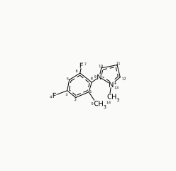 Cc1cc(F)cc(F)c1-n1ccc[n+]1C